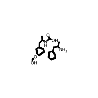 CC(Cc1ccccc1)NC(=O)O.CC(N)Cc1ccccc1.O=CO